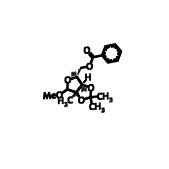 COC1O[C@H](COC(=O)c2ccccc2)[C@H]2OC(C)(C)O[C@@]12C